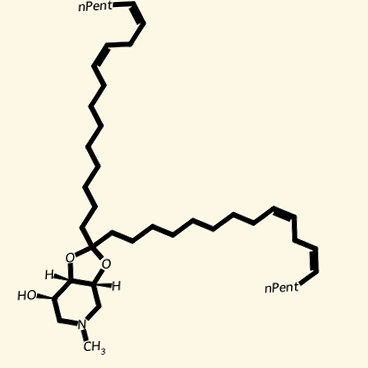 CCCCC/C=C\C/C=C\CCCCCCCCC1(CCCCCCCC/C=C\C/C=C\CCCCC)O[C@H]2[C@H](O)CN(C)C[C@H]2O1